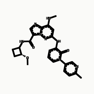 CNc1cc(Nc2cccn(-c3ccc(C)nc3)c2=O)nn2c(C(=O)NC3CC[C@H]3OC)cnc12